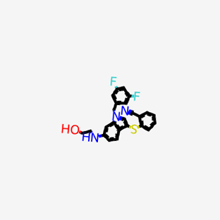 N#Cc1ccccc1Sc1cn(Cc2cc(F)cc(F)c2)c2cc(NCCO)ccc12